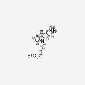 CCOC(=O)CCCCCn1c2c(c3ccccc31)C(=O)C(Cn1ccnc1C)CC2